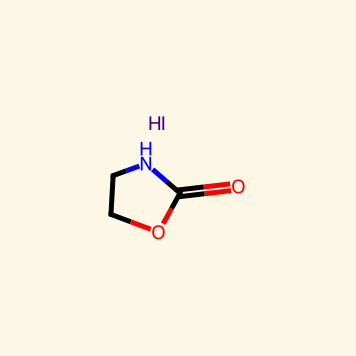 I.O=C1NCCO1